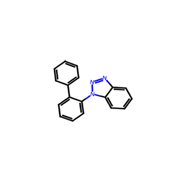 [c]1ccc(-c2ccccc2-n2nnc3ccccc32)cc1